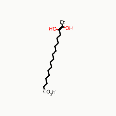 CCC(O)=C(O)CCCCCCCCCCCCCCC(=O)O